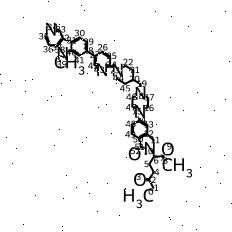 CCC(=O)CCC(C(C)=O)N1Cc2cc(N3CCN(CC4CCN(c5ccc(-c6ccc7c8cnccc8n(C)c7c6)cn5)CC4)CC3)ccc2C1=O